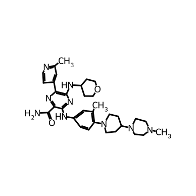 Cc1cc(-c2nc(C(N)=O)c(Nc3ccc(N4CCC(N5CCN(C)CC5)CC4)c(C)c3)nc2NC2CCOCC2)ccn1